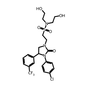 O=C1N(CCS(=O)(=O)N(CCO)CCO)CC(c2cccc(C(F)(F)F)c2)N1c1ccc(Cl)cc1